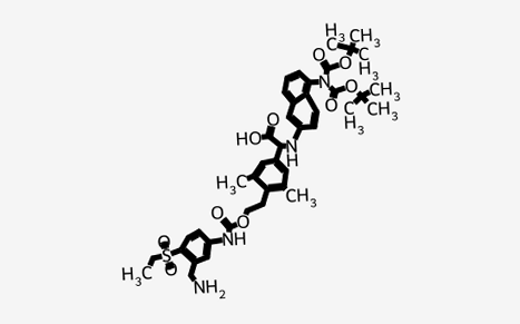 CCS(=O)(=O)c1ccc(NC(=O)OCCc2c(C)cc(C(Nc3ccc4c(N(C(=O)OC(C)(C)C)C(=O)OC(C)(C)C)cccc4c3)C(=O)O)cc2C)cc1CN